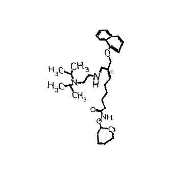 CC(C)N(CCNC/C(=C\CCCCC(=O)NOC1CCCCO1)COc1cccc2ccccc12)C(C)C